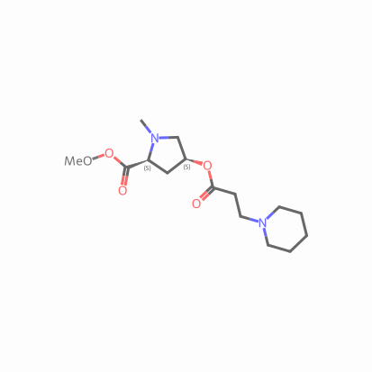 COOC(=O)[C@@H]1C[C@H](OC(=O)CCN2CCCCC2)CN1C